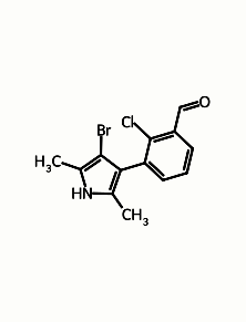 Cc1[nH]c(C)c(-c2cccc(C=O)c2Cl)c1Br